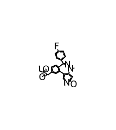 CCS(=O)(=O)Cc1ccc2c(c1)-c1cn(C)c(=O)cc1N(C)N=C2c1ccc(F)cc1